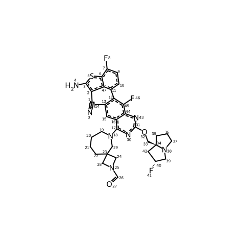 N#Cc1c(N)sc2c(F)ccc(-c3c(Cl)cc4c(N5CCCCC6(CN(C=O)C6)C5)nc(OC[C@@]56CCCN5C[C@H](F)C6)nc4c3F)c12